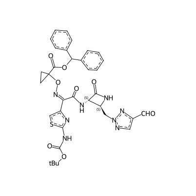 CC(C)(C)OC(=O)Nc1nc(C(=NOC2(C(=O)OC(c3ccccc3)c3ccccc3)CC2)C(=O)N[C@@H]2C(=O)N[C@H]2Cn2ncc(C=O)n2)cs1